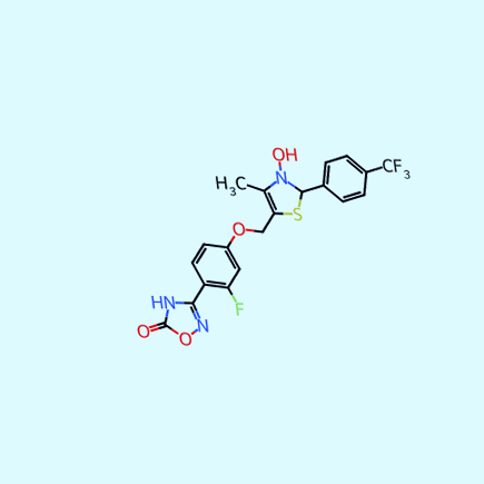 CC1=C(COc2ccc(-c3noc(=O)[nH]3)c(F)c2)SC(c2ccc(C(F)(F)F)cc2)N1O